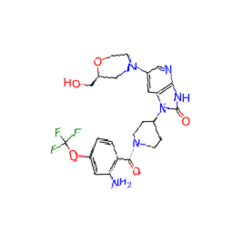 Nc1cc(OC(F)(F)F)ccc1C(=O)N1CCC(n2c(=O)[nH]c3ncc(N4CCO[C@H](CO)C4)cc32)CC1